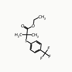 CCOC(=O)C(C)(C)Sc1ccc(C(F)(F)F)cc1